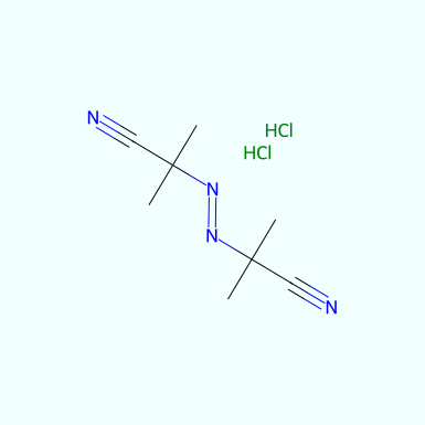 CC(C)(C#N)N=NC(C)(C)C#N.Cl.Cl